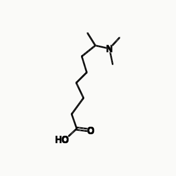 CC(CCCCCC(=O)O)N(C)C